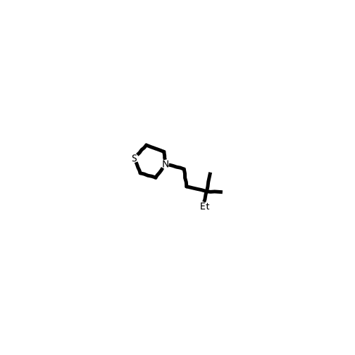 CCC(C)(C)CCN1CCSCC1